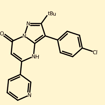 CC(C)(C)c1nn2c(=O)cc(-c3cccnc3)[nH]c2c1-c1ccc(Cl)cc1